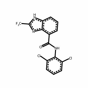 O=C(Nc1c(Cl)cccc1Cl)c1cccc2[nH]c(C(F)(F)F)nc12